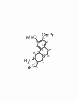 CCCOc1cc2c(cc1OC)C1CN(C)C(CC(C)C)CN1CC2